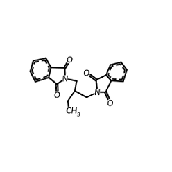 CCC(CN1C(=O)c2ccccc2C1=O)CN1C(=O)c2ccccc2C1=O